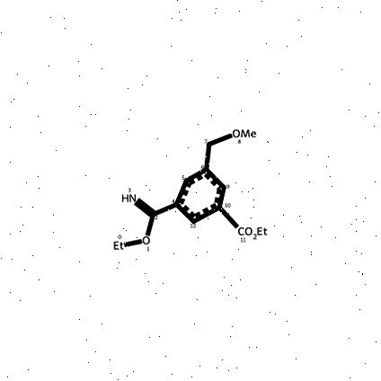 CCOC(=N)c1cc(COC)cc(C(=O)OCC)c1